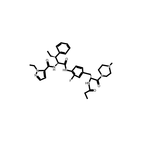 CCC(=O)N[C@H](Cc1ccc(NC(=O)[C@@H](NC(=O)c2ccnn2CC)[C@@H](CC)c2ccccc2)c(F)c1)C(=O)N1CCN(C)CC1